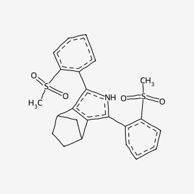 CS(=O)(=O)c1ccccc1-c1[nH]c(-c2ccccc2S(C)(=O)=O)c2c1C1CCC2C1